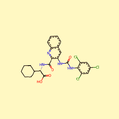 O=C(Nc1cc2ccccc2nc1C(=O)N[C@H](C(=O)O)C1CCCCC1)Nc1c(Cl)cc(Cl)cc1Cl